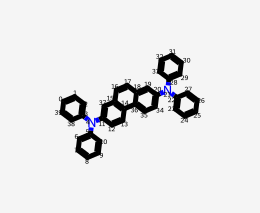 c1ccc(N(c2ccccc2)c2ccc3c(ccc4cc(N(c5ccccc5)c5ccccc5)ccc43)c2)cc1